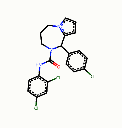 O=C(Nc1ccc(Cl)cc1Cl)N1CCCn2cccc2C1c1ccc(Cl)cc1